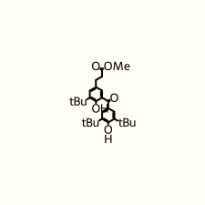 COC(=O)CCc1cc(C(=O)c2cc(C(C)(C)C)c(O)c(C(C)(C)C)c2)c(O)c(C(C)(C)C)c1